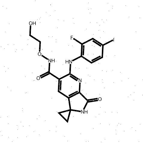 O=C(NOCCO)c1cc2c(nc1Nc1ccc(I)cc1F)C(=O)NC21CC1